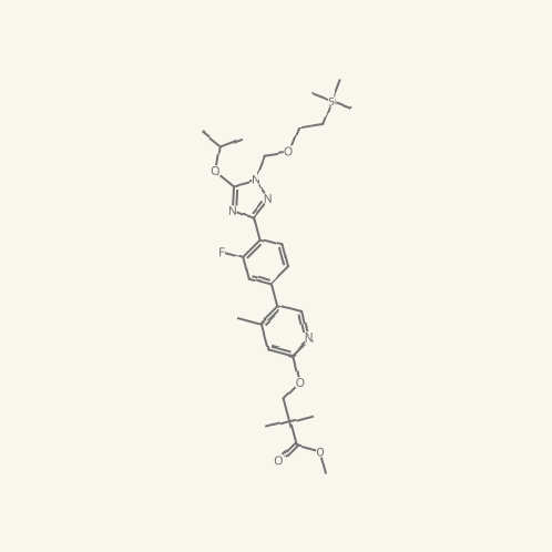 COC(=O)C(C)(C)COc1cc(C)c(-c2ccc(-c3nc(OC(C)C)n(COCC[Si](C)(C)C)n3)c(F)c2)cn1